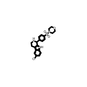 O=S(=O)(c1ccc(C2NCCc3c2[nH]c2ccc(Cl)cc32)cc1)N1CCOCC1